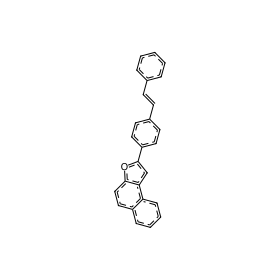 C(=C\c1ccc(-c2cc3c(ccc4ccccc43)o2)cc1)/c1ccccc1